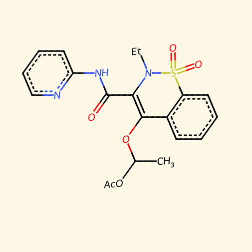 CCN1C(C(=O)Nc2ccccn2)=C(OC(C)OC(C)=O)c2ccccc2S1(=O)=O